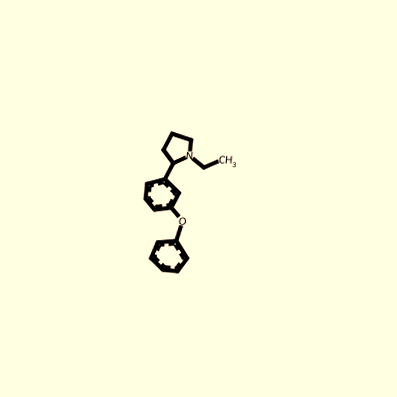 CCN1CCCC1c1cccc(Oc2ccccc2)c1